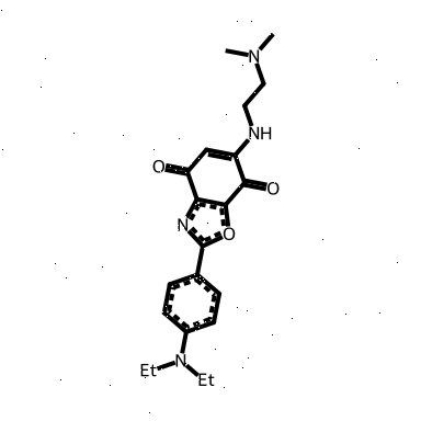 CCN(CC)c1ccc(-c2nc3c(o2)C(=O)C(NCCN(C)C)=CC3=O)cc1